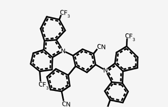 N#Cc1cccc(-c2cc(-n3c4cc(C(F)(F)F)ccc4c4ccc(C(F)(F)F)cc43)c(C#N)cc2-n2c3cc(C(F)(F)F)ccc3c3ccc(C(F)(F)F)cc32)c1